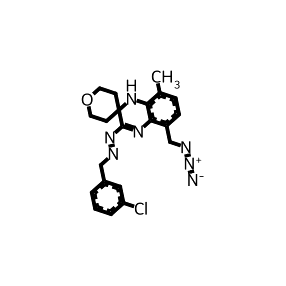 Cc1ccc(CN=[N+]=[N-])c2c1NC1(CCOCC1)C(N=NCc1cccc(Cl)c1)=N2